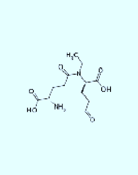 CCN(C(=O)CC[C@H](N)C(=O)O)[C@H](CCC=O)C(=O)O